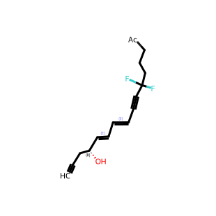 C#CC[C@@H](O)/C=C/C=C/C#CC(F)(F)CCCC(C)=O